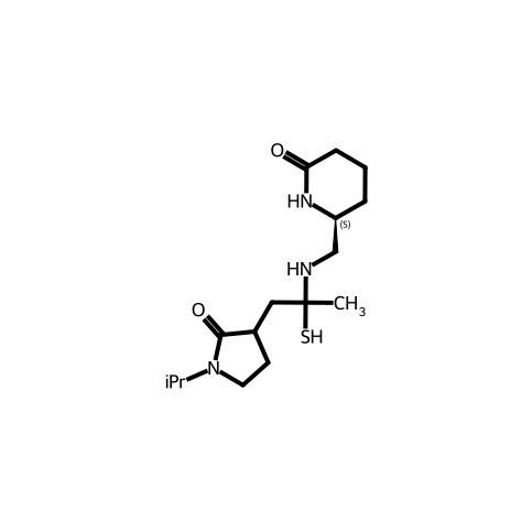 CC(C)N1CCC(CC(C)(S)NC[C@@H]2CCCC(=O)N2)C1=O